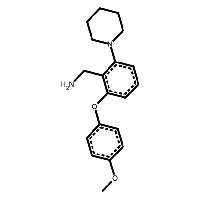 COc1ccc(Oc2cccc(N3CCCCC3)c2CN)cc1